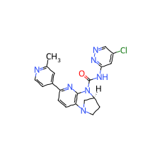 Cc1cc(-c2ccc3c(n2)N(C(=O)Nc2cc(Cl)cnn2)[C@H]2CCN3C2)ccn1